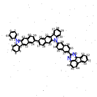 c1ccc(-n2c3ccccc3c3cc4cc(-c5ccc6cc7c(cc6c5)c5ccccc5n7-c5ccc6cc(-c7nc8c9c(cccc9n7)-c7ccccc7-8)ccc6c5)ccc4cc32)cc1